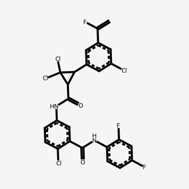 C=C(F)c1cc(Cl)cc(C2C(C(=O)Nc3ccc(Cl)c(C(=O)Nc4ccc(F)cc4F)c3)C2(Cl)Cl)c1